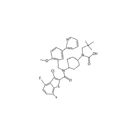 COc1ccc(-c2ccccn2)cc1CN(C(=O)c1sc2c(F)ccc(F)c2c1Cl)C1CCC(N(CC(C)(C)C)C(=O)O)CC1